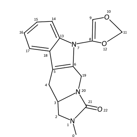 CN1CC2Cc3c(n(C4=COCO4)c4ccccc34)CN2C1=O